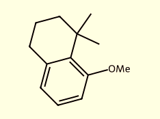 COc1cccc2c1C(C)(C)CCC2